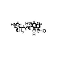 CC1CNCCN1CCCCOc1c(O)cc2c(c1O)C(C=O)C=CO2